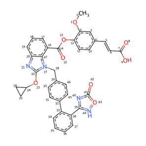 COc1cc(C=CC(=O)O)ccc1OC(=O)c1cccc2nc(OC3CC3)n(Cc3ccc(-c4ccccc4-c4nc(=O)o[nH]4)cc3)c12